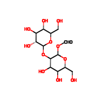 O=COC1OC(CO)C(O)C(O)C1OC1OC(CO)C(O)C(O)[C@H]1O